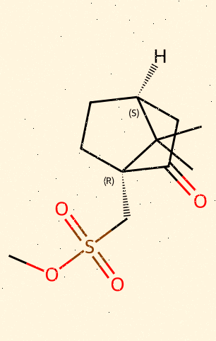 COS(=O)(=O)C[C@@]12CC[C@@H](CC1=O)C2(C)C